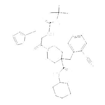 CC(C)(C)OC(=O)N[C@@H](Cc1cccs1)C(=O)N1CCC(Cc2ccccc2C#N)(C(=O)NC2CCCCC2)CC1